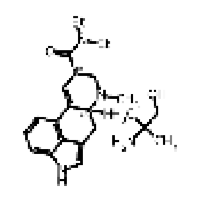 CC(C)(N)CO.CCN(CC)C(=O)[C@@H]1C=C2c3cccc4[nH]cc(c34)C[C@H]2N(C)C1